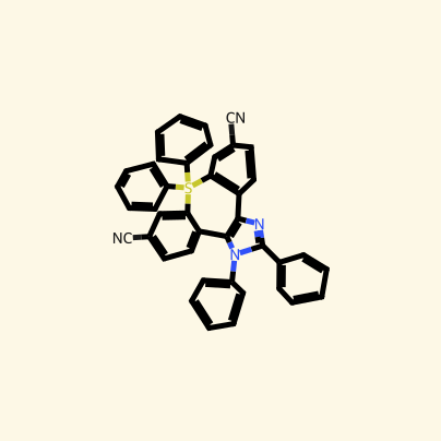 N#Cc1ccc2c(c1)S(c1ccccc1)(c1ccccc1)c1cc(C#N)ccc1-c1c-2nc(-c2ccccc2)n1-c1ccccc1